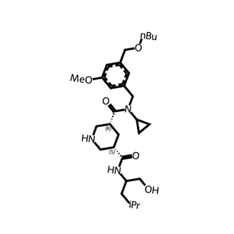 CCCCOCc1cc(CN(C(=O)[C@H]2CNC[C@@H](C(=O)NC(CO)CC(C)C)C2)C2CC2)cc(OC)c1